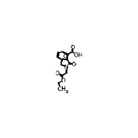 CCOC(=O)CN1CC23C=CC(O2)C(C(=O)O)C3C1=O